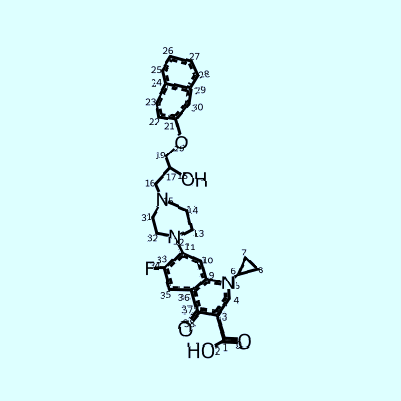 O=C(O)c1cn(C2CC2)c2cc(N3CCN(CC(O)COc4ccc5ccccc5c4)CC3)c(F)cc2c1=O